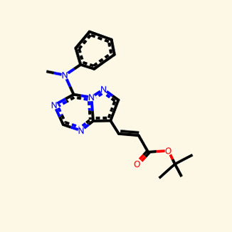 CN(c1ccccc1)c1ncnc2c(C=CC(=O)OC(C)(C)C)cnn12